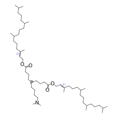 C/C(=C\COC(=O)CCCP(CCCCN(C)C)CCCC(=O)OC/C=C(\C)CCCC(C)CCCC(C)CCCC(C)C)CCCC(C)CCCC(C)CCCC(C)C